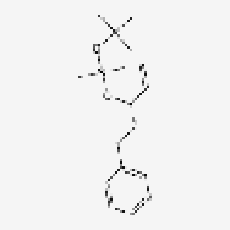 C=C[C@H](CCc1ccccc1)O[Si](C)(C)OC(C)(C)C